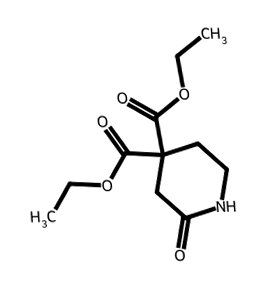 CCOC(=O)C1(C(=O)OCC)CCNC(=O)C1